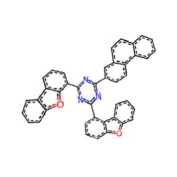 c1ccc2c(c1)ccc1cc(-c3nc(-c4cccc5c4oc4ccccc45)nc(-c4cccc5oc6ccccc6c45)n3)ccc12